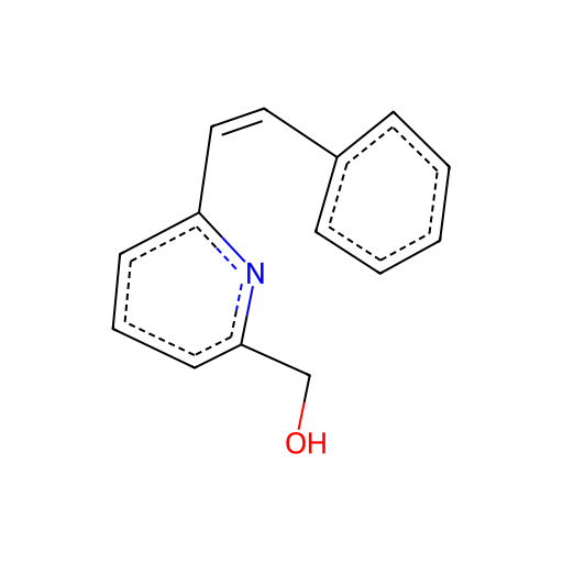 OCc1cccc(/C=C\c2ccccc2)n1